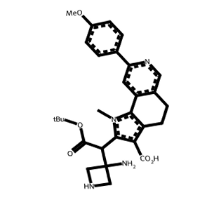 COc1ccc(-c2cc3c(cn2)CCc2c(C(=O)O)c(C(C(=O)OC(C)(C)C)C4(N)CNC4)n(C)c2-3)cc1